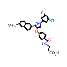 COc1ccc2cc(-c3nn(-c4cc(Cl)cc(Cl)c4)cc3Oc3ccc(C(=O)NCCC(=O)O)cc3)ccc2c1